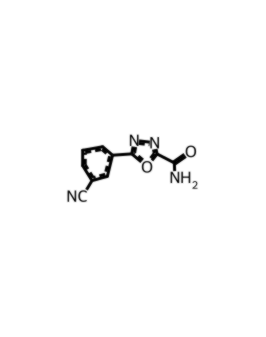 N#Cc1cccc(-c2nnc(C(N)=O)o2)c1